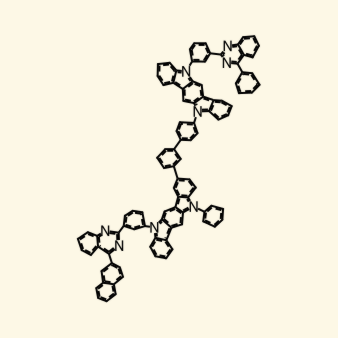 c1ccc(-c2nc(-c3cccc(-n4c5ccccc5c5cc6c(cc54)c4ccccc4n6-c4ccc(-c5cccc(-c6ccc7c(c6)c6cc8c(cc6n7-c6ccccc6)c6ccccc6n8-c6cccc(-c7nc(-c8ccc9ccccc9c8)c8ccccc8n7)c6)c5)cc4)c3)nc3ccccc23)cc1